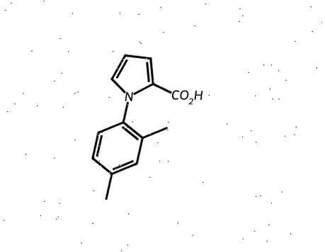 Cc1ccc(-n2cccc2C(=O)O)c(C)c1